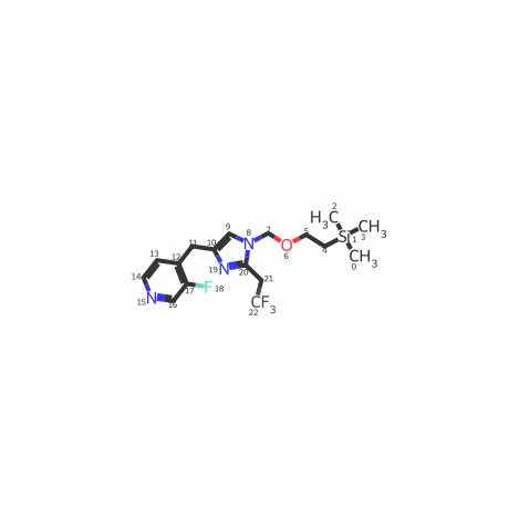 C[Si](C)(C)CCOCn1cc(Cc2ccncc2F)nc1CC(F)(F)F